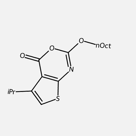 CCCCCCCCOc1nc2scc(C(C)C)c2c(=O)o1